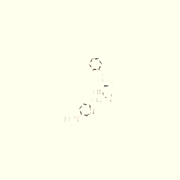 Nc1ccc(OCC2(NC(=O)OCc3ccccc3)CC2)nc1